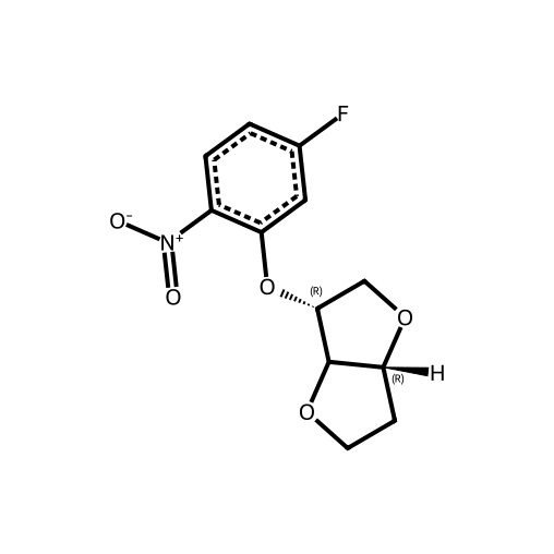 O=[N+]([O-])c1ccc(F)cc1O[C@@H]1CO[C@@H]2CCOC21